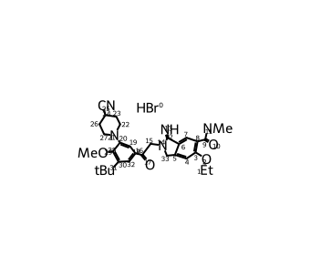 Br.CCOc1cc2c(cc1C(=O)NC)C(=N)N(CC(=O)c1cc(N3CCC(C#N)CC3)c(OC)c(C(C)(C)C)c1)C2